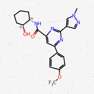 Cn1cc(-c2nc(C(=O)N[C@H]3CCCC[C@@H]3O)cc(-c3ccc(OC(F)(F)F)cc3)n2)cn1